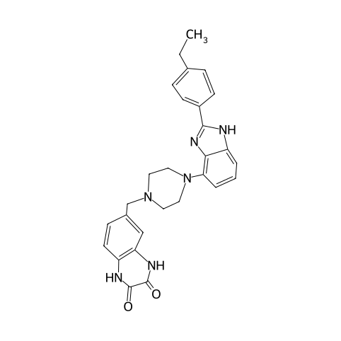 CCc1ccc(-c2nc3c(N4CCN(Cc5ccc6[nH]c(=O)c(=O)[nH]c6c5)CC4)cccc3[nH]2)cc1